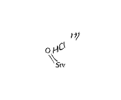 Cl.[Hf].[O]=[Sn]